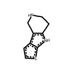 c1cc2c3c([nH]c2s1)CCNC3